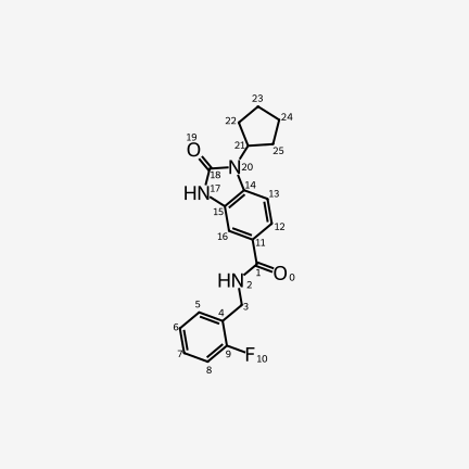 O=C(NCc1ccccc1F)c1ccc2c(c1)[nH]c(=O)n2C1CCCC1